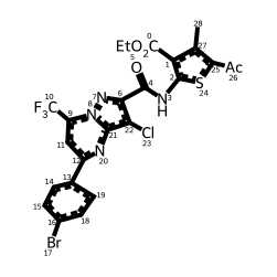 CCOC(=O)c1c(NC(=O)c2nn3c(C(F)(F)F)cc(-c4ccc(Br)cc4)nc3c2Cl)sc(C(C)=O)c1C